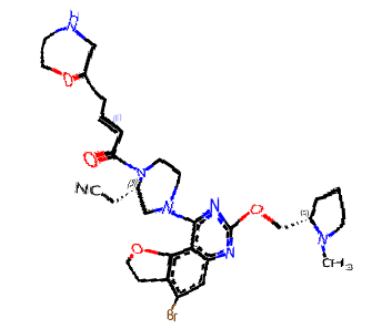 CN1CCC[C@H]1COc1nc(N2CCN(C(=O)/C=C/CC3CNCCO3)[C@@H](CC#N)C2)c2c3c(c(Br)cc2n1)CCO3